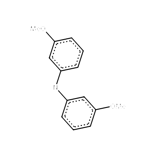 COc1cccc([N]c2cccc(OC)c2)c1